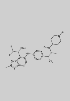 CO[C@H](c1c(Nc2ccc([C@H](N(C)C(=O)C3CCN(C(C)=O)CC3)C(F)(F)F)cc2)cnc2sc(C)nc12)C(F)F